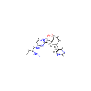 CCC(N)CNc1ccnc(-c2cc(-c3cncnc3)ccc2O)n1